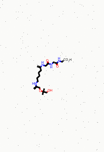 C=C(CCCCCNC(=C)COC(C)(C)CO)NCC(=O)NCC(=O)NCC(=O)O